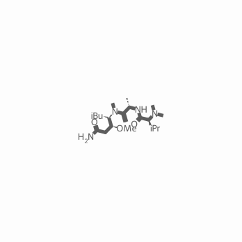 C=C([C@H](C)NC(=O)[C@H](C(C)C)N(C)C)N(C)[C@@H]([C@@H](C)CC)[C@@H](CC(N)=O)OC